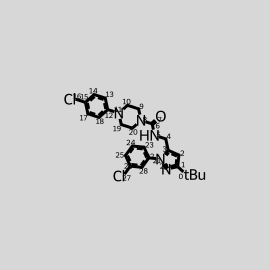 CC(C)(C)c1cc(CNC(=O)N2CCN(c3ccc(Cl)cc3)CC2)n(-c2cccc(Cl)c2)n1